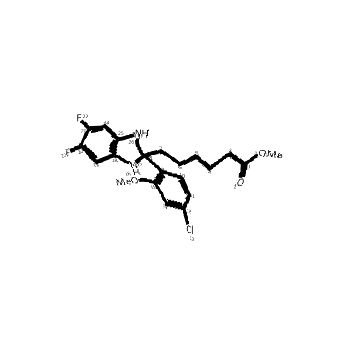 COC(=O)CCCCCC1(c2ccc(Cl)cc2OC)Nc2cc(F)c(F)cc2N1